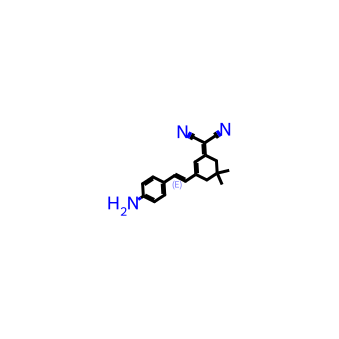 CC1(C)CC(/C=C/c2ccc(N)cc2)=CC(=C(C#N)C#N)C1